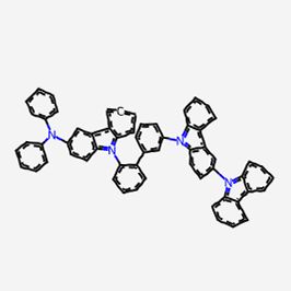 c1ccc(N(c2ccccc2)c2ccc3c(c2)c2ccccc2n3-c2ccccc2-c2cccc(-n3c4ccccc4c4cc(-n5c6ccccc6c6ccccc65)ccc43)c2)cc1